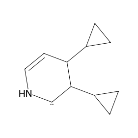 [C]1NC=CC(C2CC2)C1C1CC1